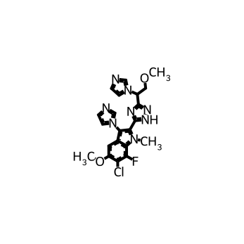 COCC(c1n[nH]c(-c2c(-n3ccnc3)c3cc(OC)c(Cl)c(F)c3n2C)n1)n1ccnc1